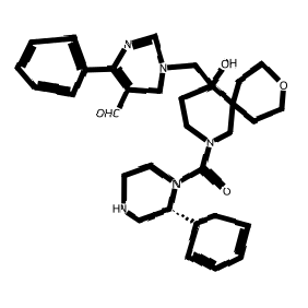 O=CC1=C(c2ccccc2)N=CN(CC2(O)CCN(C(=O)N3CCNC[C@H]3C3C=CC=CC3)CC23CCOCC3)C1